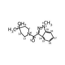 Cn1nc(C(=O)N2CCC(C)(O)CC2)c2ccccc21